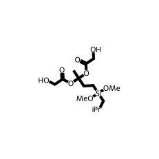 CO[Si](CCC(C)(OC(=O)CO)OC(=O)CO)(CC(C)C)OC